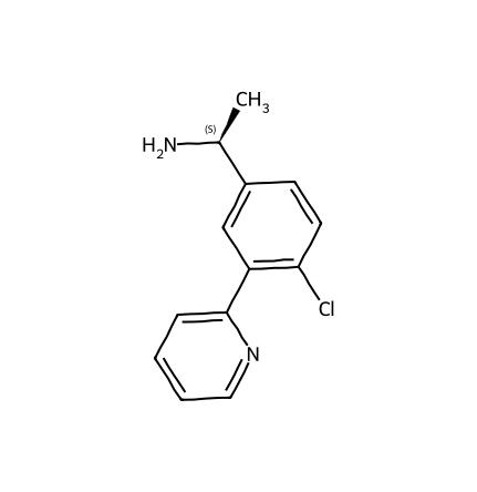 C[C@H](N)c1ccc(Cl)c(-c2ccccn2)c1